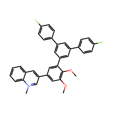 COc1cc(-c2cc3ccccc3[n+](C)c2)cc(-c2cc(-c3ccc(F)cc3)cc(-c3ccc(F)cc3)c2)c1OC